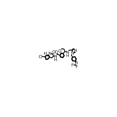 NC(=O)C(Cc1ccc(Cl)cc1)NC(=O)c1cccc2c1OCCC2NCc1cncn1Cc1ccc(OC(F)F)cc1